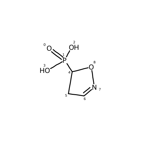 O=P(O)(O)C1CC=NO1